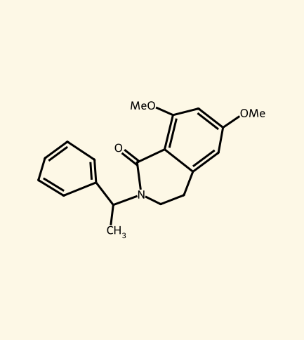 COc1cc2c(c(OC)c1)C(=O)N(C(C)c1ccccc1)CC2